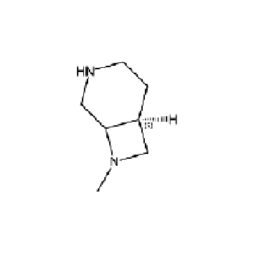 CN1C[C@@H]2CCNCC21